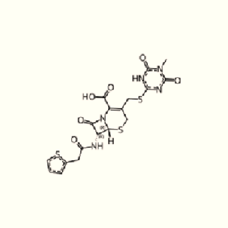 Cn1c(=O)nc(SCC2=C(C(=O)O)N3C(=O)[C@@H](NC(=O)Cc4cccs4)[C@H]3SC2)[nH]c1=O